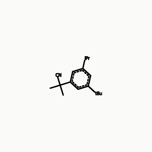 CC(C)c1cc(C(C)(C)C)cc(C(C)(C)C#N)c1